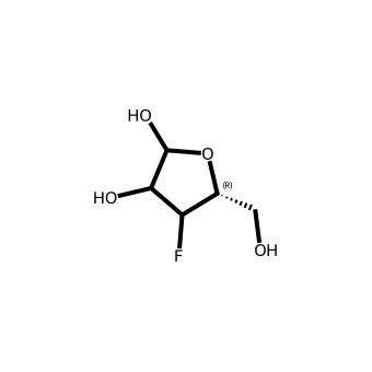 OC[C@H]1OC(O)C(O)C1F